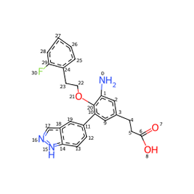 Nc1cc(CCC(=O)O)cc(-c2ccc3[nH]ncc3c2)c1OCCc1ccccc1F